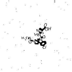 COC(=O)N1CCC2(C1)CN(C(=O)Nc1ncc(C(=O)O)s1)c1ccc(Cl)cc12